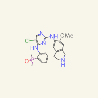 COc1cc2c(cc1Nc1ncc(Cl)c(Nc3ccccc3P(C)(C)=O)n1)CCNC2